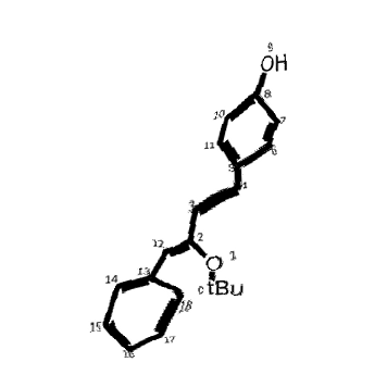 CC(C)(C)OC(C=Cc1ccc(O)cc1)=Cc1ccccc1